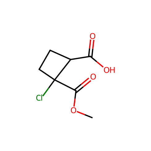 COC(=O)C1(Cl)CCC1C(=O)O